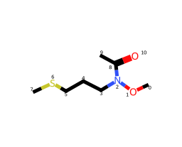 CON(CCCSC)C(C)=O